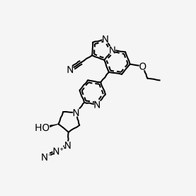 CCOc1cc(-c2ccc(N3CC(N=[N+]=[N-])[C@@H](O)C3)nc2)c2c(C#N)cnn2c1